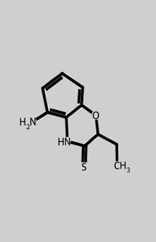 CCC1Oc2cccc(N)c2NC1=S